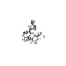 Cc1cnc([C@H]2CC(Br)=NO2)cc1Nc1cccc(C(F)(F)F)c1